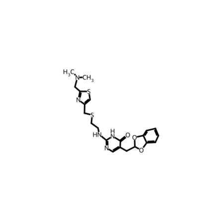 CN(C)Cc1nc(CSCCNc2ncc(CC3Oc4ccccc4O3)c(=O)[nH]2)cs1